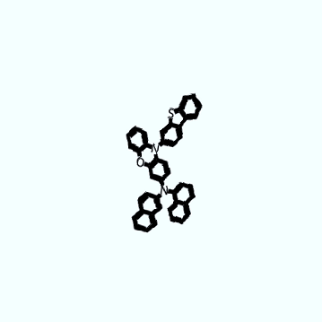 c1ccc2c(c1)Oc1cc(N(c3ccc4ccccc4c3)c3cccc4ccccc34)ccc1N2c1ccc2c(c1)sc1ccccc12